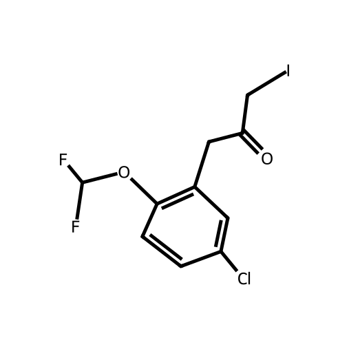 O=C(CI)Cc1cc(Cl)ccc1OC(F)F